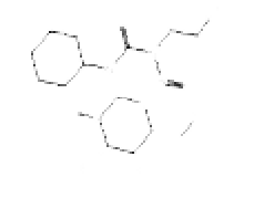 O=NN(CCCl)C(=O)N(C1CCCCC1)[C@@H]1O[C@H](CO)[C@H](O)[C@H](O)[C@H]1O